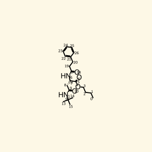 CCCCOC(=O)[C@H](CC(=O)NC(C)(C)C)NC(=O)CCc1ccccc1